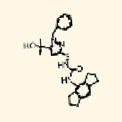 CC(C)(O)c1cc(SNC(=O)Nc2c3c(cc4c2CCC4)CCC3)nn1Cc1ccccc1